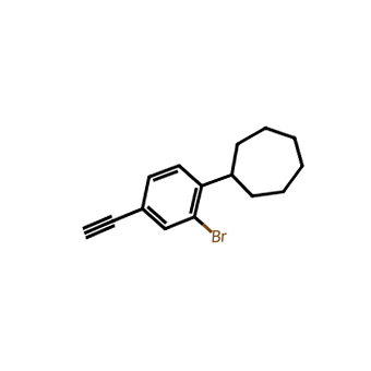 C#Cc1ccc(C2CCCCCC2)c(Br)c1